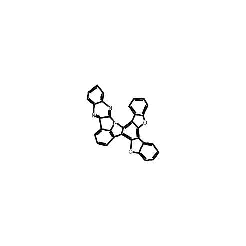 c1ccc2nc3c(nc2c1)c1cccc2c4c5oc6ccccc6c5c5oc6ccccc6c5c4n3c12